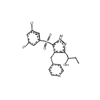 CCC(O)c1n[nH]c(S(=O)(=O)c2cc(Cl)cc(Cl)c2)c1Cc1ccncc1